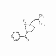 CC(C)O[C@H]1CCN(C(=O)c2ccnnc2)C[C@H]1F